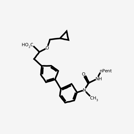 CCCCCNC(=O)N(C)c1cccc(-c2ccc(CC(OCC3CC3)C(=O)O)cc2)c1